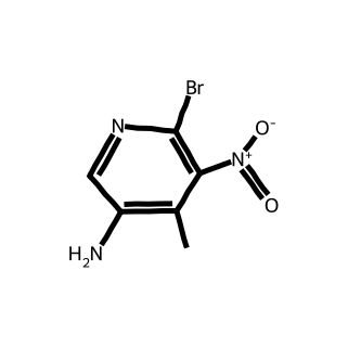 Cc1c(N)cnc(Br)c1[N+](=O)[O-]